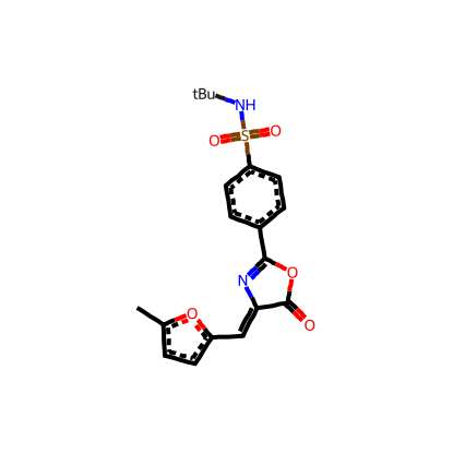 Cc1ccc(C=C2N=C(c3ccc(S(=O)(=O)NC(C)(C)C)cc3)OC2=O)o1